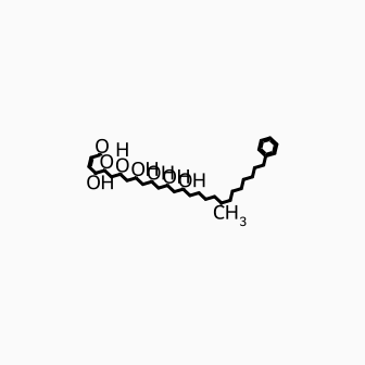 C[C@H](CCCCCCCc1ccccc1)CCCCC(O)CC(O)CC(O)CC(O)CC(O)CC1OC(=O)C=CC1O